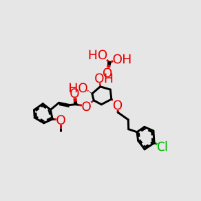 COc1ccccc1/C=C/C(=O)O[C@@H]1C[C@@H](OCCCc2ccc(Cl)cc2)C[C@H](O)[C@H]1O.O=C(O)O